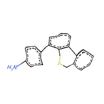 Nc1ccc(-c2cccc3c2SCc2ccccc2-3)cc1